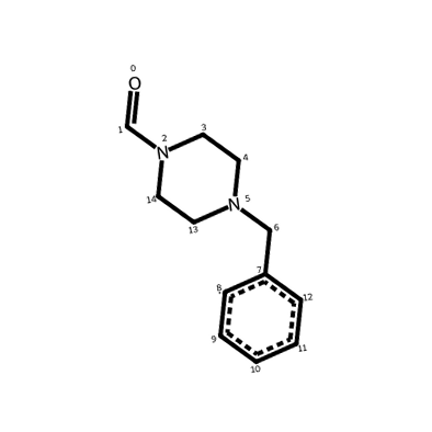 O=CN1CCN(Cc2[c]cccc2)CC1